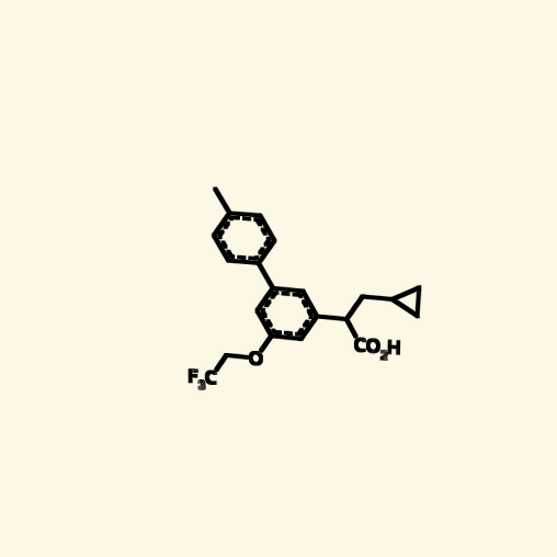 Cc1ccc(-c2cc(OCC(F)(F)F)cc(C(CC3CC3)C(=O)O)c2)cc1